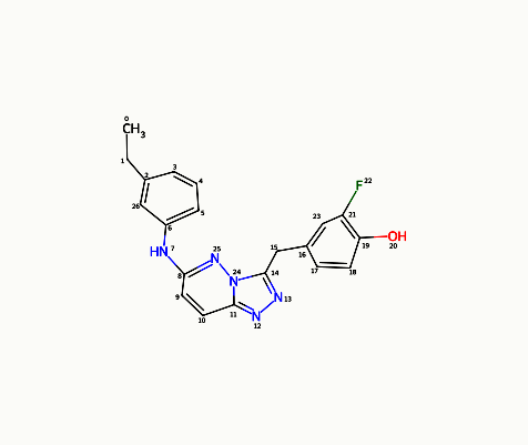 CCc1cccc(Nc2ccc3nnc(Cc4ccc(O)c(F)c4)n3n2)c1